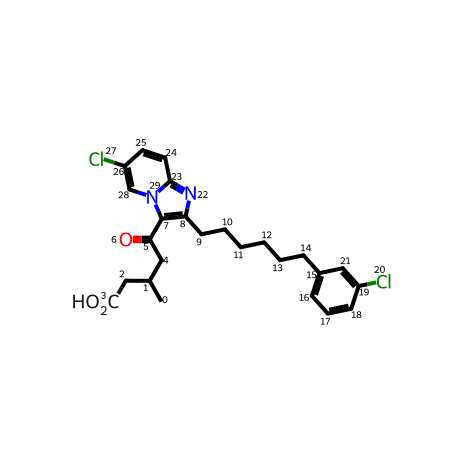 CC(CC(=O)O)CC(=O)c1c(CCCCCCc2cccc(Cl)c2)nc2ccc(Cl)cn12